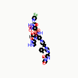 COc1cc(CN2CCN(C3CC4(CCN(c5ccc(C(=O)NS(=O)(=O)c6cc7c(c([N+](=O)[O-])c6)N[C@H](CN6CCC(F)(F)CC6)CO7)c(N6c7cc8cc[nH]c8nc7O[C@H]7COCC[C@@H]76)c5)CC4)C3)[C@H](c3ccccc3C)C2)cnc1N1CCOCC1